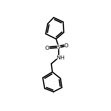 O=S(=O)(NCc1cc[c]cc1)c1ccccc1